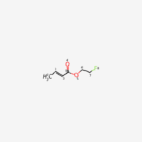 C/C=C/C(=O)OCCF